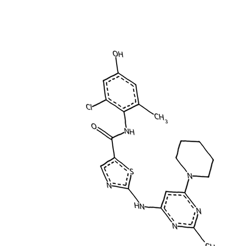 Cc1nc(Nc2ncc(C(=O)Nc3c(C)cc(O)cc3Cl)s2)cc(N2CCCCC2)n1